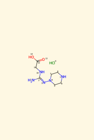 Cl.NC(=NN1CCNCC1)NCC(=O)O